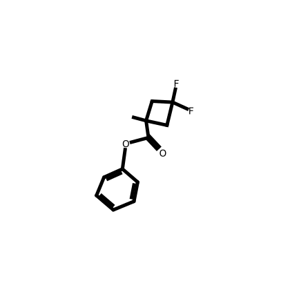 CC1(C(=O)Oc2ccccc2)CC(F)(F)C1